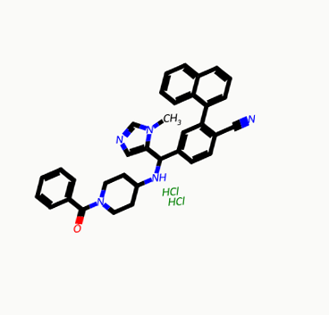 Cl.Cl.Cn1cncc1C(NC1CCN(C(=O)c2ccccc2)CC1)c1ccc(C#N)c(-c2cccc3ccccc23)c1